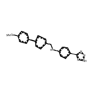 COc1ccc(-c2ccc(CNc3ccc(-c4nn[nH]n4)cc3)cc2)cc1